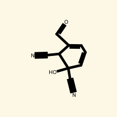 N#CC1C(C=O)=CC=CC1(O)C#N